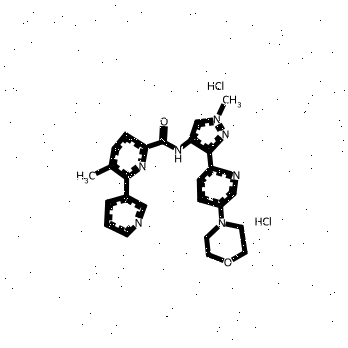 Cc1ccc(C(=O)Nc2cn(C)nc2-c2ccc(N3CCOCC3)cn2)nc1-c1cccnc1.Cl.Cl